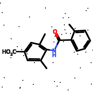 Cc1ccccc1C(=O)Nc1c(C)cc(C(=O)O)cc1C